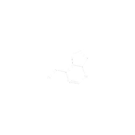 N=NC1=C2SC=CC2NC=N1